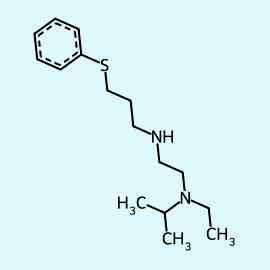 CCN(CCNCCCSc1ccccc1)C(C)C